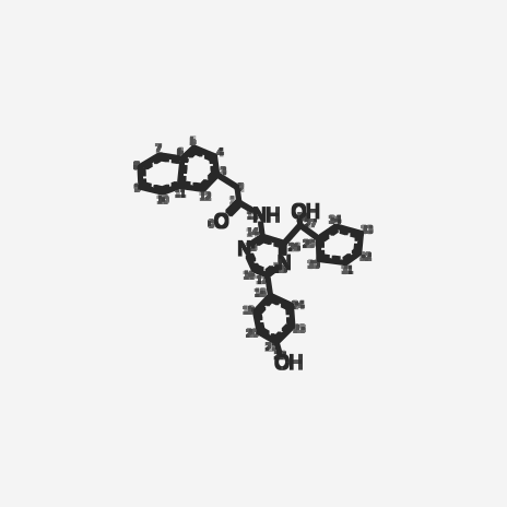 O=C(Cc1ccc2ccccc2c1)Nc1ncc(-c2ccc(O)cc2)nc1C(O)c1ccccc1